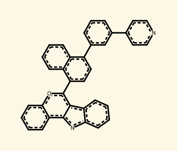 c1cc(-c2ccncc2)cc(-c2ccc(-c3oc4ccccc4c4nc5ccccc5c3-4)c3ccccc23)c1